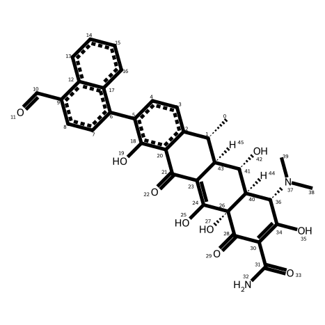 C[C@H]1c2ccc(-c3ccc(C=O)c4ccccc34)c(O)c2C(=O)C2=C(O)[C@]3(O)C(=O)C(C(N)=O)=C(O)[C@@H](N(C)C)[C@@H]3[C@@H](O)[C@@H]21